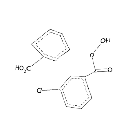 O=C(O)c1ccccc1.O=C(OO)c1cccc(Cl)c1